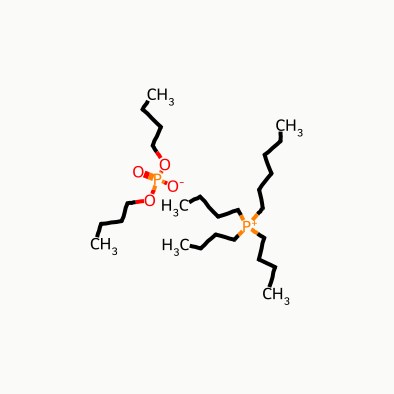 CCCCCC[P+](CCCC)(CCCC)CCCC.CCCCOP(=O)([O-])OCCCC